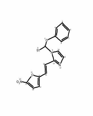 CCC(Oc1ccccc1)n1ccnc1/C=C/c1ccc([N+](=O)[O-])o1